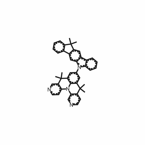 CC1(C)c2ccccc2-c2cc3c(cc21)c1ccccc1n3-c1cc2c3c(c1)C(C)(C)c1cnccc1N3c1cnccc1C2(C)C